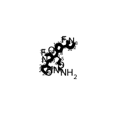 N=C(N)OCC[C@@H]1c2cc(-c3cccnc3F)ccc2Oc2c1cc(C1=CCCOC1)nc2F